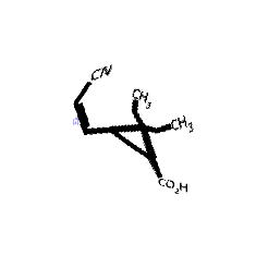 CC1(C)C(/C=C\C#N)C1C(=O)O